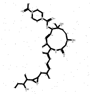 CCC(O)C(C)C1OC1CC(C)/C=C/C=C(\C)C1OC(=O)CC(O)CCC(C)(O)C(OC(=O)N2CCN(C(C)=O)CC2)/C=C/C1C